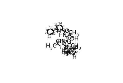 CC(C)C[C@H](NC(=O)[C@@H](NC(=O)c1cccc(-c2ccccc2)n1)[C@@H](C)O)B1O[C@@H]2C[C@@H]3C[C@@H](C3(C)C)[C@]2(C)O1